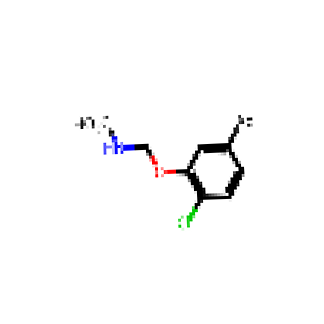 CC(=O)c1ccc(Cl)c(OCNC(=O)O)c1